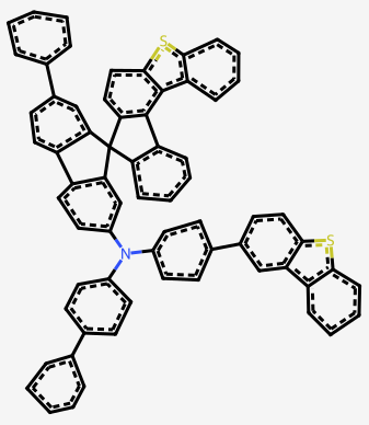 c1ccc(-c2ccc(N(c3ccc(-c4ccc5sc6ccccc6c5c4)cc3)c3ccc4c(c3)C3(c5cc(-c6ccccc6)ccc5-4)c4ccccc4-c4c3ccc3sc5ccccc5c43)cc2)cc1